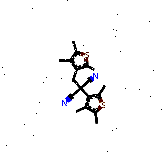 Cc1sc(C)c(CC(C#N)(C#N)c2c(C)sc(C)c2C)c1C